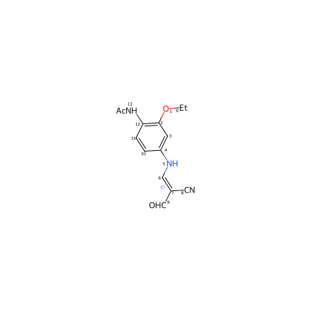 CCOc1cc(N/C=C(\C#N)C=O)ccc1NC(C)=O